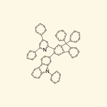 c1ccc(-c2cc(-c3ccccc3)nc(-c3cc4c(cc3-c3ccc5c6ccccc6n(-c6ccccc6)c5c3)-c3ccccc3C4(c3ccccc3)c3ccccc3)c2)cc1